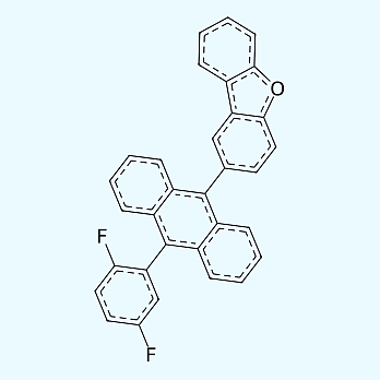 Fc1ccc(F)c(-c2c3ccccc3c(-c3ccc4oc5ccccc5c4c3)c3ccccc23)c1